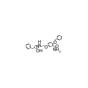 NC(=O)c1cc(OCCNN2CC(Cc3ccccc3)C2O)ccc1OCc1ccccc1